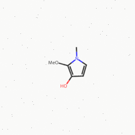 COc1c(O)ccn1C